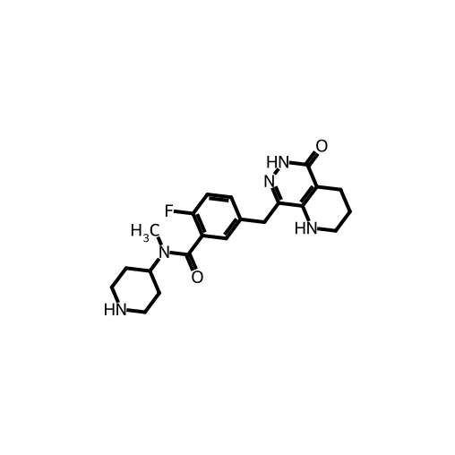 CN(C(=O)c1cc(Cc2n[nH]c(=O)c3c2NCCC3)ccc1F)C1CCNCC1